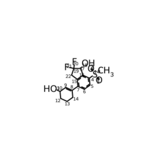 CS(=O)(=O)c1ccc(C2=CC(O)CCC2)c2c1[C@H](O)C(F)(F)C2